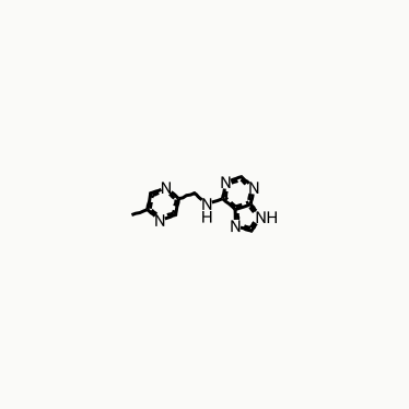 Cc1cnc(CNc2ncnc3[nH]cnc23)cn1